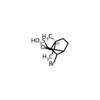 CC1(CS(=O)(=O)O)C2CC[C@]1(C)C(=O)C2Br